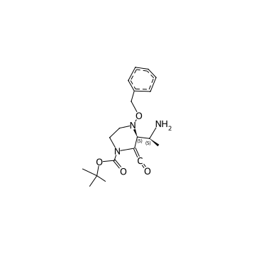 C[C@H](N)[C@H]1C(=C=O)N(C(=O)OC(C)(C)C)CCN1OCc1ccccc1